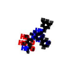 CNC(=O)[C@H]1OC(n2cnc3c(NCc4cc(C)cc(C)c4)nc(-c4cccnc4)nc32)C(O)C1O